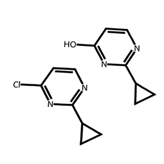 Clc1ccnc(C2CC2)n1.Oc1ccnc(C2CC2)n1